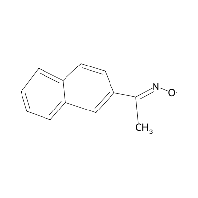 CC(=N[O])c1ccc2ccccc2c1